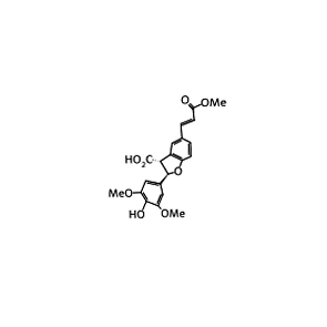 COC(=O)/C=C/c1ccc2c(c1)[C@@H](C(=O)O)[C@H](c1cc(OC)c(O)c(OC)c1)O2